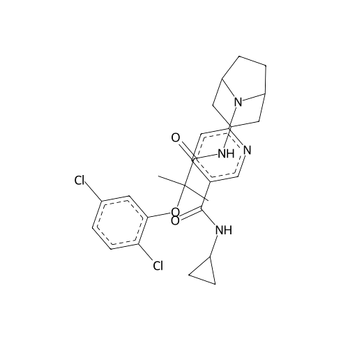 CC(C)(Oc1cc(Cl)ccc1Cl)C(=O)NC1CC2CCC(C1)N2c1ccc(C(=O)NC2CC2)cn1